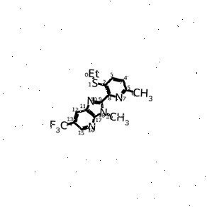 CCSc1ccc(C)nc1-c1nc2cc(C(F)(F)F)cnc2n1C